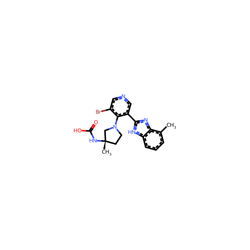 Cc1cccc2[nH]c(-c3cncc(Br)c3N3CC[C@](C)(NC(=O)O)C3)nc12